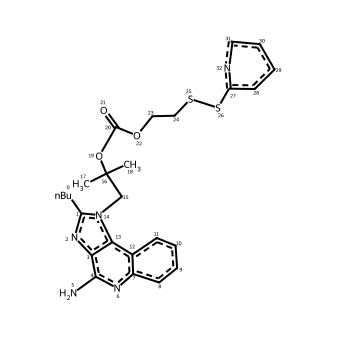 CCCCc1nc2c(N)nc3ccccc3c2n1CC(C)(C)OC(=O)OCCSSc1ccccn1